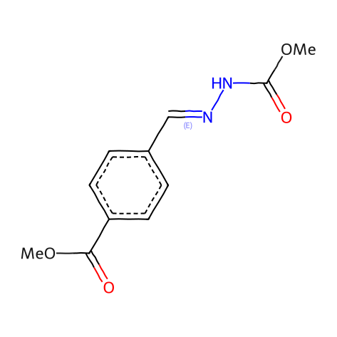 COC(=O)N/N=C/c1ccc(C(=O)OC)cc1